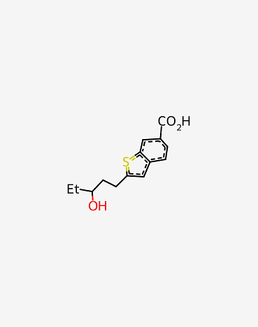 CCC(O)CCc1cc2ccc(C(=O)O)cc2s1